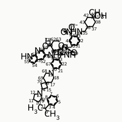 CC(C)c1ccccc1[C@@H]1CCCN1C1CC2(CCN(c3ccc(C(=O)NS(=O)(=O)c4ccc(NCC5CCC(C)(O)CC5)c([N+](=O)[O-])c4)c(N4c5cc6cc[nH]c6nc5O[C@@H]5CCOC[C@@H]54)c3)CC2)C1